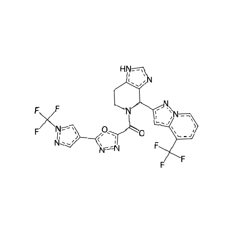 O=C(c1nnc(-c2cnn(C(F)(F)F)c2)o1)N1CCc2[nH]cnc2C1c1cc2c(C(F)(F)F)cccn2n1